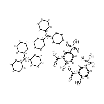 C1CC[CH]([Sn+]([CH]2CCCCC2)[CH]2CCCCC2)CC1.C1CC[CH]([Sn+]([CH]2CCCCC2)[CH]2CCCCC2)CC1.O=C([O-])c1cc(S(=O)(=O)O)ccc1O.O=C([O-])c1cc(S(=O)(=O)O)ccc1O